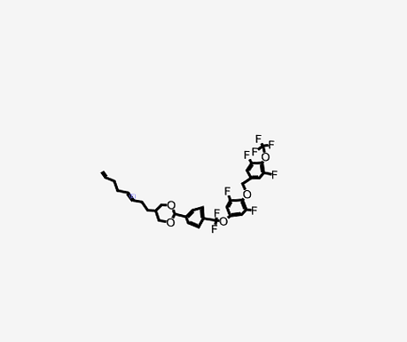 C=CCC/C=C/CCC1COC(c2ccc(C(F)(F)Oc3cc(F)c(OCc4cc(F)c(OC(F)(F)F)c(F)c4)c(F)c3)cc2)OC1